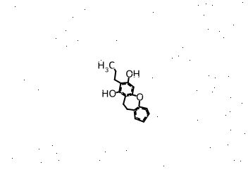 CCCc1c(O)cc2c(c1O)CCc1ccccc1O2